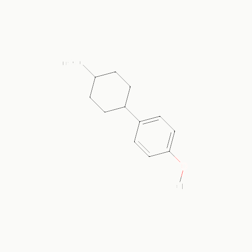 CCCCCCCCC1CCC(c2ccc(OC(F)(F)F)cc2)CC1